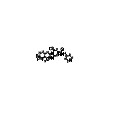 O=C(NCc1ccncc1)c1cc(Cl)n2c(CC3CCC(F)(F)CC3)c(C(F)(F)F)nc2c1